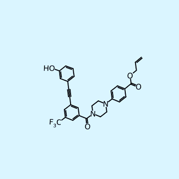 C=CCOC(=O)c1ccc(N2CCN(C(=O)c3cc(C#Cc4cccc(O)c4)cc(C(F)(F)F)c3)CC2)cc1